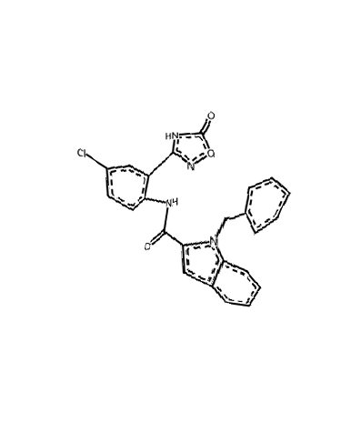 O=C(Nc1ccc(Cl)cc1-c1noc(=O)[nH]1)c1cc2ccccc2n1Cc1ccccc1